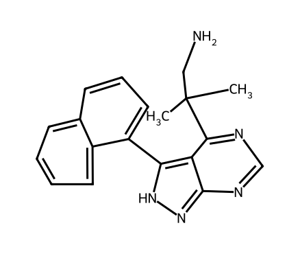 CC(C)(CN)c1ncnc2n[nH]c(-c3cccc4ccccc34)c12